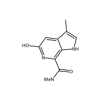 CNC(=O)c1nc(O)cc2c(C)c[nH]c12